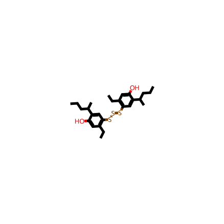 CCCC(C)c1cc(SSSc2cc(C(C)CCC)c(O)cc2CC)c(CC)cc1O